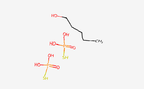 CCCCCO.O=P(O)(O)S.O=P(O)(O)S